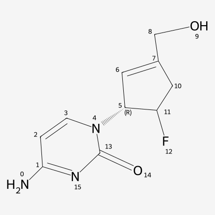 Nc1ccn([C@@H]2C=C(CO)CC2F)c(=O)n1